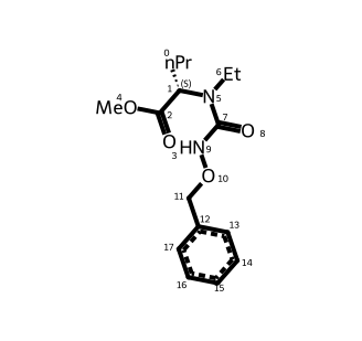 CCC[C@@H](C(=O)OC)N(CC)C(=O)NOCc1ccccc1